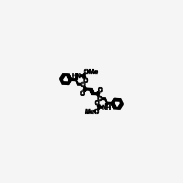 COC(=O)N[C@@H](COC(=O)/C=C/C(=O)OC[C@H](NC(=O)OC)c1ccccc1)c1ccccc1